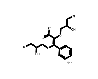 O=C([O-])C(OCC(O)CO)=C(OCC(O)CO)c1ccccc1.[Na+]